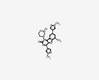 CC[C@H]1C[C@@H](n2c(=O)nc(-c3cnn(C)c3)c3oc4c(C)cc(-c5cnn(C)c5)cc4c32)CCO1